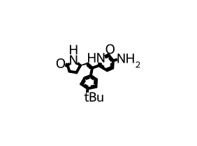 CC(C)(C)c1ccc(/C(=C\[C@H]2CCC(=O)N2)c2ccc(N)c(=O)[nH]2)cc1